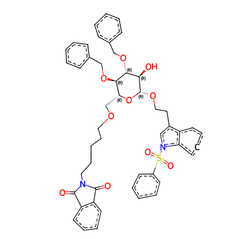 O=C1c2ccccc2C(=O)N1CCCCCOC[C@H]1O[C@@H](OCCc2cn(S(=O)(=O)c3ccccc3)c3ccccc23)[C@H](O)[C@@H](OCc2ccccc2)[C@@H]1OCc1ccccc1